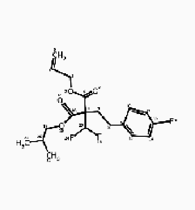 C=CCOC(=O)C(CCc1ccc(F)cc1)(C(=O)OCC(C)C)C(F)F